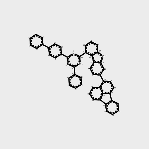 c1ccc(-c2ccc(-c3nc(-c4ccccc4)nc(-c4cccc5oc6cc(-c7ccc8c9c(cccc79)-c7ccccc7-8)ccc6c45)n3)cc2)cc1